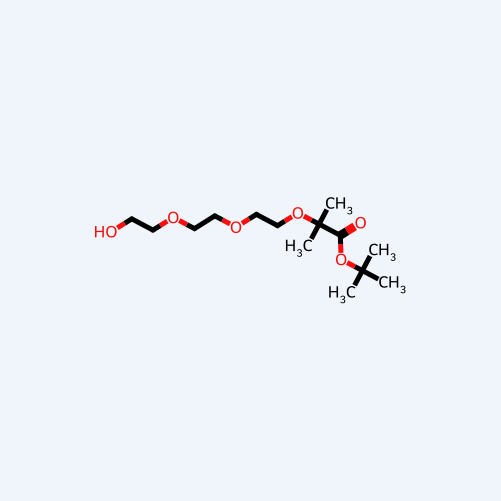 CC(C)(C)OC(=O)C(C)(C)OCCOCCOCCO